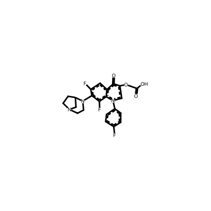 O=C(O)Oc1cn(-c2ccc(F)cc2)c2c(F)c(N3CCN4CCC3C4)c(F)cc2c1=O